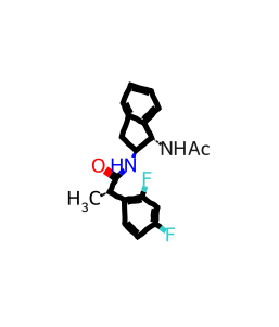 CC(=O)N[C@H]1c2ccccc2C[C@@H]1NC(=O)[C@@H](C)c1ccc(F)cc1F